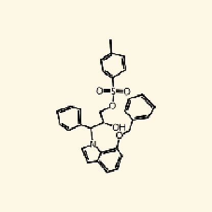 Cc1ccc(S(=O)(=O)OC[C@@H](O)[C@H](c2ccccc2)n2ccc3cccc(OCc4ccccc4)c32)cc1